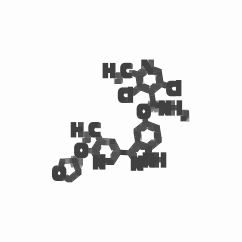 Cc1cc(-c2n[nH]c3ccc(O[C@H](N)c4c(Cl)cnc(C)c4Cl)cc23)cnc1O[C@@H]1CCOC1